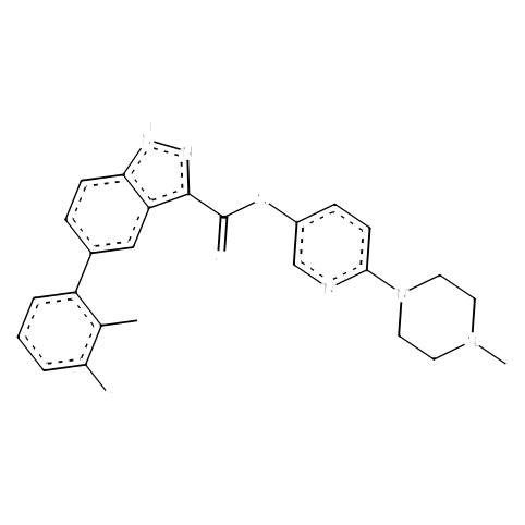 CN1CCN(c2ccc(NC(=O)c3n[nH]c4ccc(-c5cccc(F)c5F)cc34)cn2)CC1